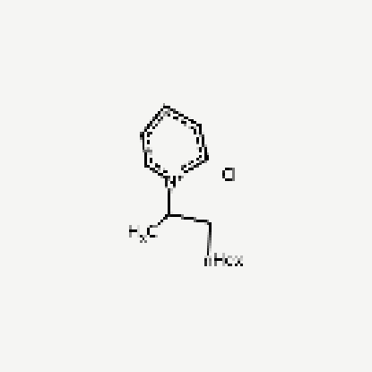 CCCCCCCC(C)[n+]1ccccc1.[Cl-]